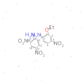 CCOc1cc([N+](=O)[O-])ccc1N.Nc1ccc([N+](=O)[O-])cc1[N+](=O)[O-]